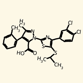 Cc1ccccc1-c1c(C)nn(-c2nc(-c3ccc(Cl)c(Cl)c3)c(SC(C)C)s2)c1C(=O)O